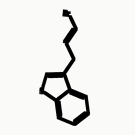 BrC=CCc1csc2ccccc12